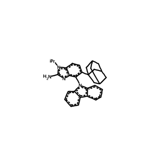 CC(C)n1c(N)nc2c(-n3c4ccccc4c4ccccc43)c(C34CC5CC(CC(C5)C3)C4)ccc21